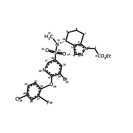 CCOC(=O)Cn1ncc2c1CCC[C@H]2N(C)S(=O)(=O)c1cnc(Oc2ccc(Cl)cc2F)c(Br)c1